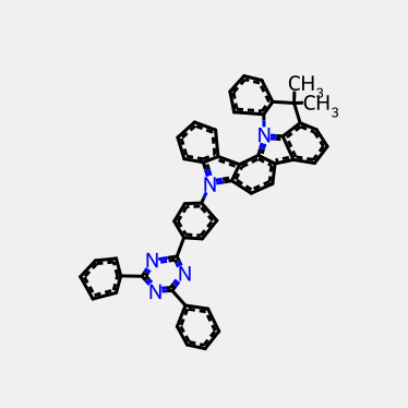 CC1(C)c2ccccc2-n2c3c1cccc3c1ccc3c(c4ccccc4n3-c3ccc(-c4nc(-c5ccccc5)nc(-c5ccccc5)n4)cc3)c12